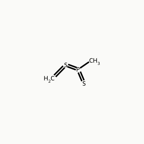 C=S=P(C)=S